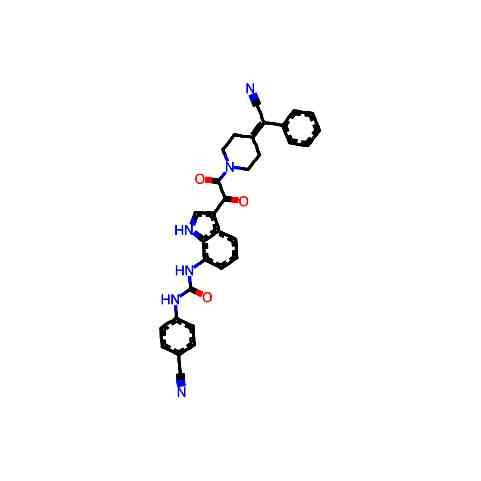 N#CC(=C1CCN(C(=O)C(=O)c2c[nH]c3c(NC(=O)Nc4ccc(C#N)cc4)cccc23)CC1)c1ccccc1